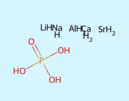 O=P(O)(O)O.[AlH3].[CaH2].[LiH].[NaH].[SrH2]